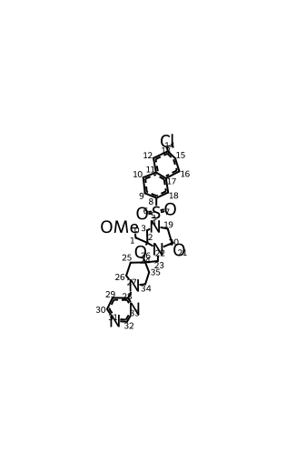 COCC12CN(S(=O)(=O)c3ccc4cc(Cl)ccc4c3)CC(=O)N1CC1(CCN(c3ccncn3)CC1)O2